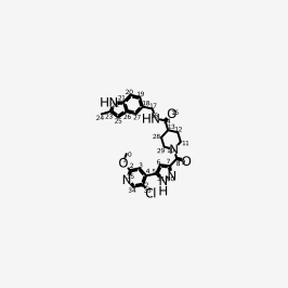 COc1cc(-c2cc(C(=O)N3CCC(C(=O)NCc4ccc5[nH]c(C)cc5c4)CC3)n[nH]2)c(Cl)cn1